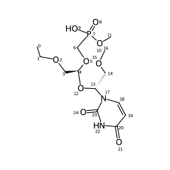 CCOC[C@@H](OCP(=O)(O)OC)O[C@H](COC)n1ccc(=O)[nH]c1=O